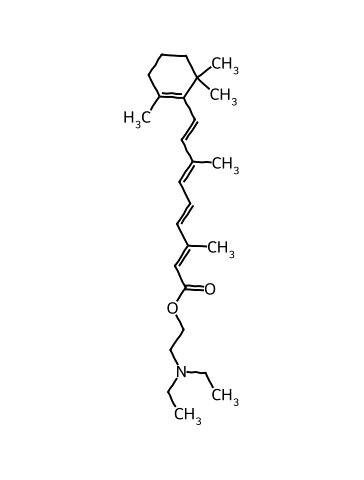 CCN(CC)CCOC(=O)/C=C(C)/C=C/C=C(C)/C=C/C1=C(C)CCCC1(C)C